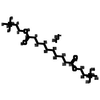 C[N+](C)(C)CCOC(=O)CCCCCCCCC(=O)OCC[N+](C)(C)C.[I-].[I-]